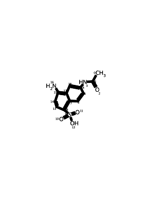 CC(=O)Nc1ccc2c(S(=O)(=O)O)ccc(N)c2c1